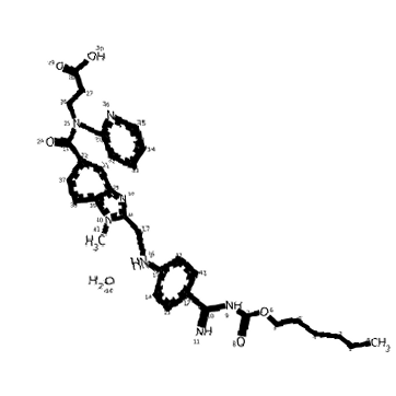 CCCCCCOC(=O)NC(=N)c1ccc(NCc2nc3cc(C(=O)N(CCC(=O)O)c4ccccn4)ccc3n2C)cc1.O